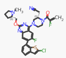 C=C(F)C(=O)N1CCN(c2nc(OC[C@@H]3CCCN3C)nc3cc(-c4cccc5cc(Cl)sc45)c(F)cc23)C[C@@H]1CC#N